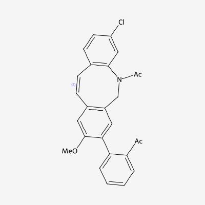 COc1cc2c(cc1-c1ccccc1C(C)=O)CN(C(C)=O)c1cc(Cl)ccc1/C=C\2